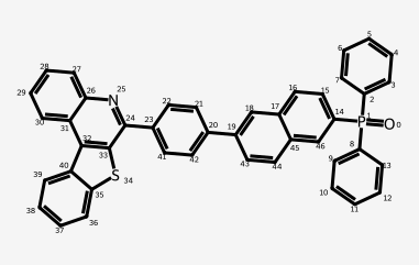 O=P(c1ccccc1)(c1ccccc1)c1ccc2cc(-c3ccc(-c4nc5ccccc5c5c4sc4ccccc45)cc3)ccc2c1